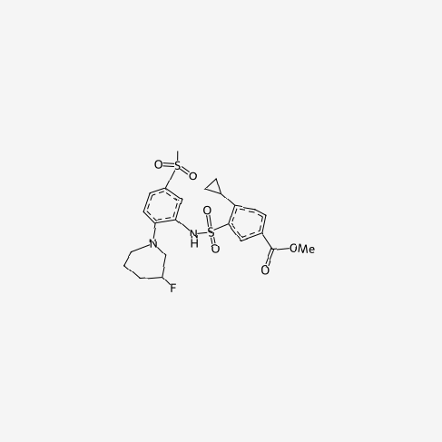 COC(=O)c1ccc(C2CC2)c(S(=O)(=O)Nc2cc(S(C)(=O)=O)ccc2N2CCCC(F)C2)c1